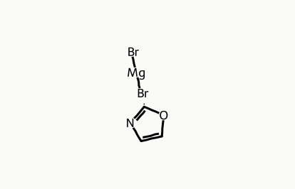 [Br][Mg][Br].[c]1ncco1